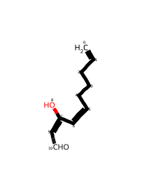 C=CCCC/C=C\C(O)=C/C=O